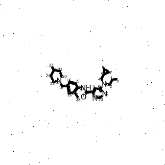 CCCN(CC1CC1)c1cc(C(=O)Nc2ccc(CN3CCC(C)CC3)cc2C)ncn1